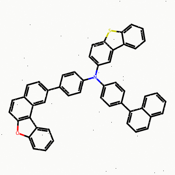 c1ccc2c(-c3ccc(N(c4ccc(-c5ccc6ccc7oc8ccccc8c7c6c5)cc4)c4ccc5sc6ccccc6c5c4)cc3)cccc2c1